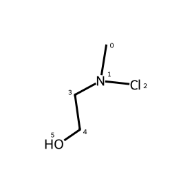 CN(Cl)CCO